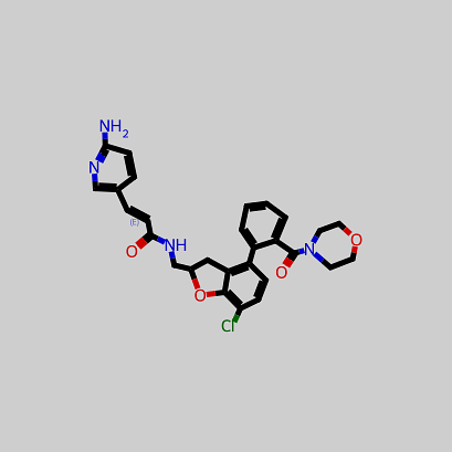 Nc1ccc(/C=C/C(=O)NCC2Cc3c(-c4ccccc4C(=O)N4CCOCC4)ccc(Cl)c3O2)cn1